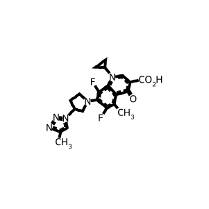 Cc1cn(C2CCN(c3c(F)c(C)c4c(=O)c(C(=O)O)cn(C5CC5)c4c3F)C2)nn1